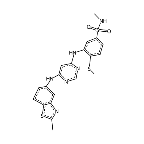 CNS(=O)(=O)c1ccc(SC)c(Nc2cc(Nc3ccc4sc(C)nc4c3)ncn2)c1